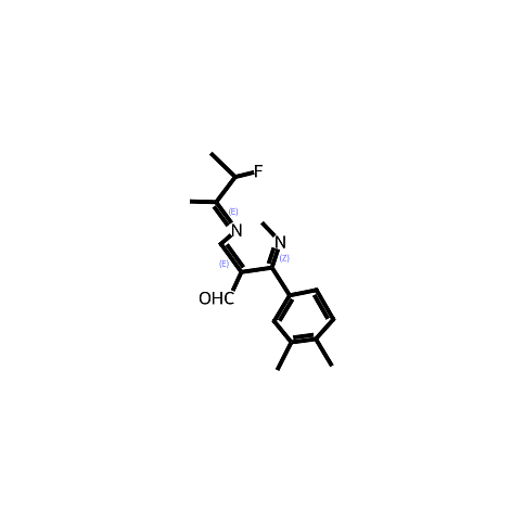 C\N=C(/C(C=O)=C\N=C(/C)C(C)F)c1ccc(C)c(C)c1